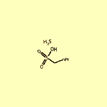 CCCCS(=O)(=O)O.S